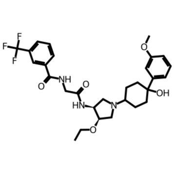 CCO[C@@H]1CN(C2CCC(O)(c3cccc(OC)c3)CC2)C[C@@H]1NC(=O)CNC(=O)c1cccc(C(F)(F)F)c1